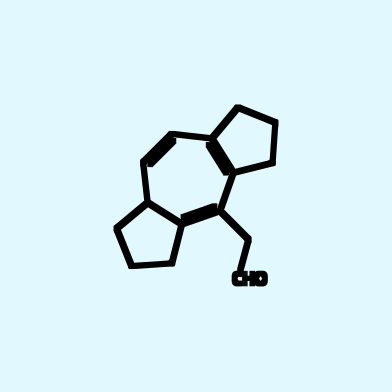 O=CCC1=C2CCCC2C=CC2=C1CCC2